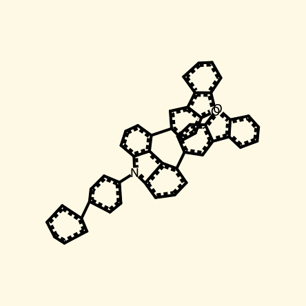 c1ccc(-c2ccc(-n3c4cccc(-c5ccc6oc7ccccc7c6c5)c4c4c(-c5ccc6oc7ccccc7c6c5)cccc43)cc2)cc1